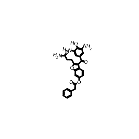 NC(=O)CCc1oc2cc(OC(=O)Cc3ccccc3)ccc2c1C(=O)c1cc(N)c(O)c(N)c1